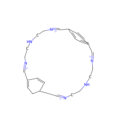 C1=CC2/C=N/CCNCC/N=C/c3ccc(cc3)/C=N/CCNCC/N=C/C1=CC2